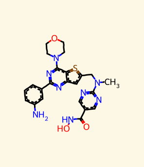 CN(Cc1cc2nc(-c3cccc(N)c3)nc(N3CCOCC3)c2s1)c1ncc(C(=O)NO)cn1